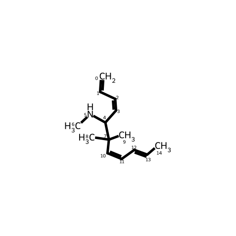 C=C/C=C\C(NC)C(C)(C)/C=C\C=C\C